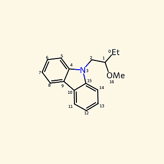 CCC(Cn1c2ccccc2c2ccccc21)OC